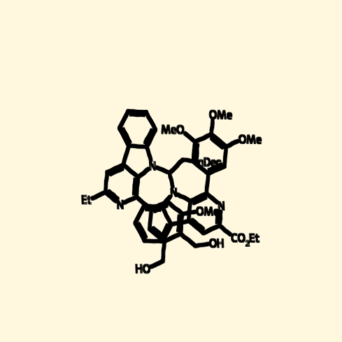 CCCCCCCCCCCC(n1c2ccccc2c2cc(CC)nc(-c3cc(CO)c(CO)c(OC)c3)c21)n1c2ccccc2c2cc(C(=O)OCC)nc(-c3cc(OC)c(OC)c(OC)c3)c21